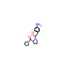 Nc1ccc(CC(O)N2CCC[C@H]2C(=O)N2CCCC2)cc1